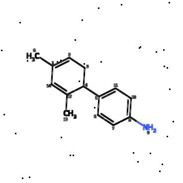 CC1=CCC(c2ccc(N)cc2)C(C)=C1